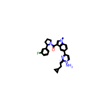 Cn1cc(C(=O)N2CCCC2c2cccc(F)c2)c2cc(C3=N/C(=C/CC4CC4)N(N)C=C3)ccc21